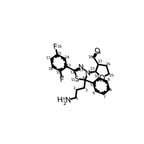 NCCCC1(c2ccccc2)SC(c2cc(F)ccc2F)=NN1C1OCCC1C=O